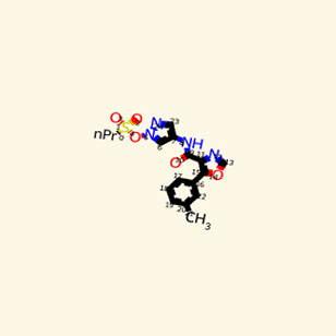 CCCS(=O)(=O)On1cc(NC(=O)c2ncoc2-c2cccc(C)c2)cn1